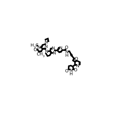 Cc1cc2c(N3CCCc4nc(-c5ccc(C(=O)NCC#Cc6cc7c(C8CCC(=O)NC8=O)nccc7o6)nc5)ncc43)nc(N3CCC3)cc2n(C)c1=O